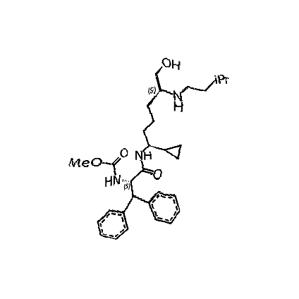 COC(=O)N[C@H](C(=O)NC(CCC[C@@H](CO)NCCC(C)C)C1CC1)C(c1ccccc1)c1ccccc1